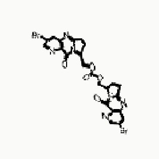 O=C(OCC1CCc2nc3cc(Br)cnc3c(=O)n21)OCC1CCc2nc3cc(Br)cnc3c(=O)n21